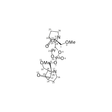 COC[C@@]1(COP(=O)(OC[C@]2(COC)C(=O)C3CCN2CC3)OC(C)C)C(=O)C2CCN1CC2